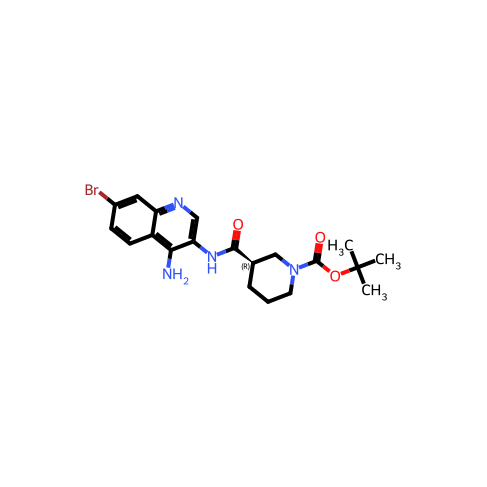 CC(C)(C)OC(=O)N1CCC[C@@H](C(=O)Nc2cnc3cc(Br)ccc3c2N)C1